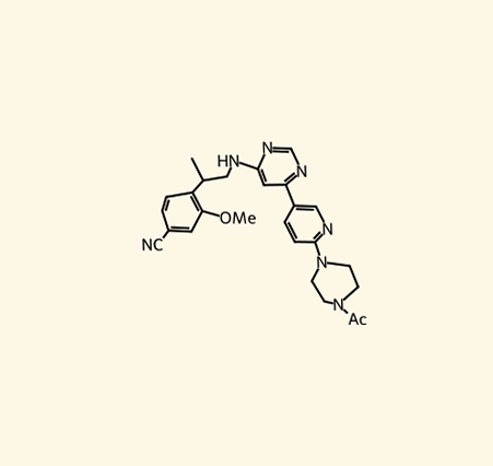 COc1cc(C#N)ccc1C(C)CNc1cc(-c2ccc(N3CCN(C(C)=O)CC3)nc2)ncn1